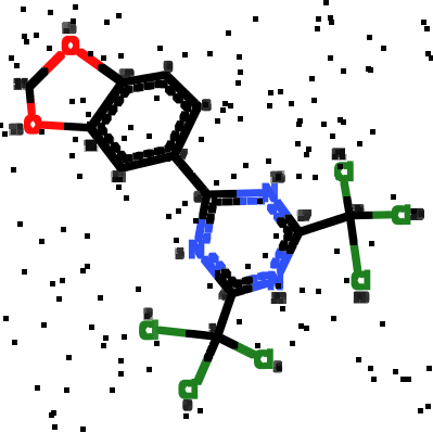 ClC(Cl)(Cl)c1nc(-c2ccc3c(c2)OCO3)nc(C(Cl)(Cl)Cl)n1